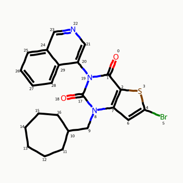 O=c1c2sc(Br)cc2n(CC2CCCCCC2)c(=O)n1-c1cncc2ccccc12